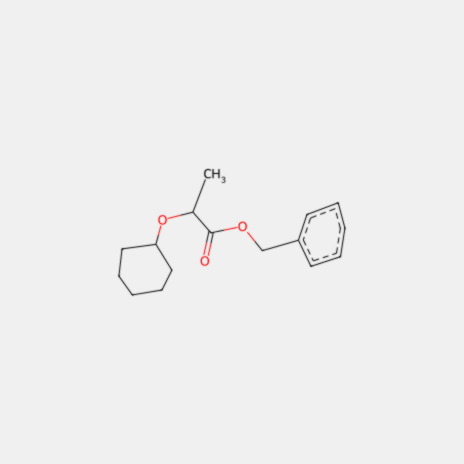 CC(OC1CCCCC1)C(=O)OCc1ccccc1